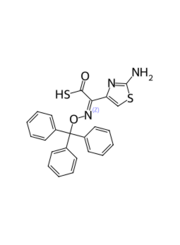 Nc1nc(/C(=N/OC(c2ccccc2)(c2ccccc2)c2ccccc2)C(=O)S)cs1